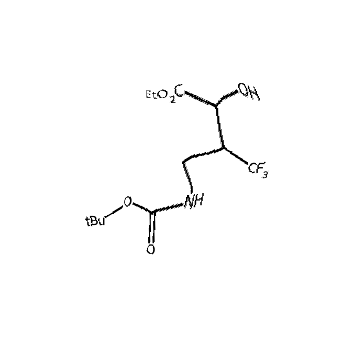 CCOC(=O)C(O)C(CNC(=O)OC(C)(C)C)C(F)(F)F